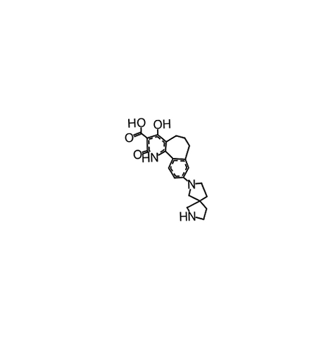 O=C(O)c1c(O)c2c([nH]c1=O)-c1ccc(N3CCC4(CCNC4)C3)cc1CCC2